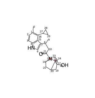 Cc1ccc2[nH]cc(C(C)CC(=O)N3C4CCC5(O)CC(C4)CC3C5)c2c1C1CC1